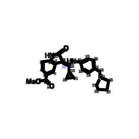 COC(=O)c1ccc2c(c1)/C(=C(/Nc1ccc(CN3CCCC3)cc1)C1CC1)C(=O)N2